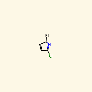 CCC1C=CC(Cl)=N1